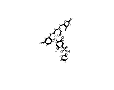 Cc1oc(=O)oc1CN(CCCc1cc(Cl)ccc1Oc1cc(F)c(S(=O)(=O)Nc2nccs2)cc1Cl)CC(=O)O